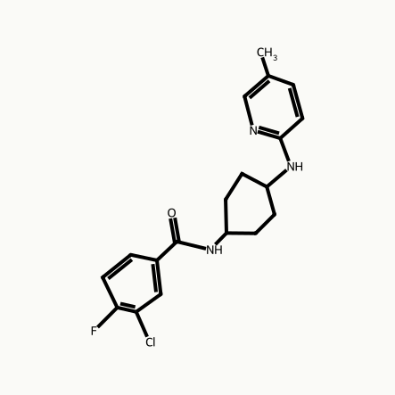 Cc1ccc(NC2CCC(NC(=O)c3ccc(F)c(Cl)c3)CC2)nc1